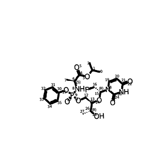 CC(C)OC(=O)[C@H](C)NP(=O)(OC[C@@H](O[C@H](CF)n1ccc(=O)[nH]c1=O)[C@@H](C)O)Oc1ccccc1